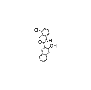 Cc1c(Cl)cccc1NC(=O)c1cc2ccccc2cc1O